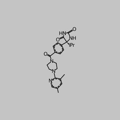 Cc1cnc(N2CCN(C(=O)c3ccc([C@@]4(C(C)C)NC(=O)NC4=O)cc3)CC2)c(C)c1